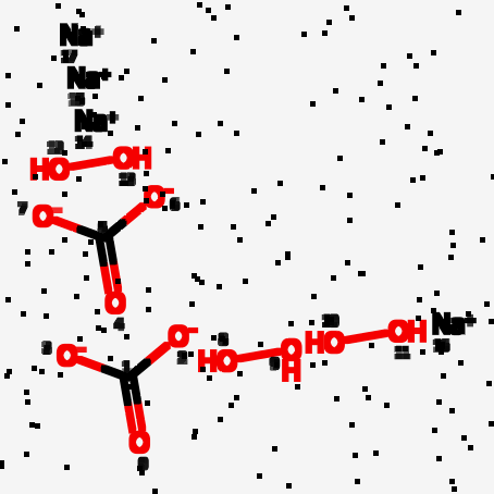 O=C([O-])[O-].O=C([O-])[O-].OO.OO.OO.[Na+].[Na+].[Na+].[Na+]